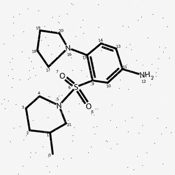 CC1CCCN(S(=O)(=O)c2cc(N)ccc2N2CCCC2)C1